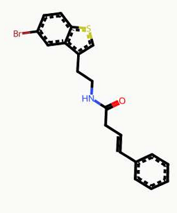 O=C(CC=Cc1ccccc1)NCCc1csc2ccc(Br)cc12